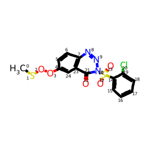 CSOOc1ccc2nnn(S(=O)(=O)c3ccccc3Cl)c(=O)c2c1